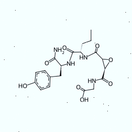 CCC[C@H](NC(=O)C1O[C@H]1C(=O)NCC(=O)O)C(=O)N[C@@H](Cc1ccc(O)cc1)C(N)=O